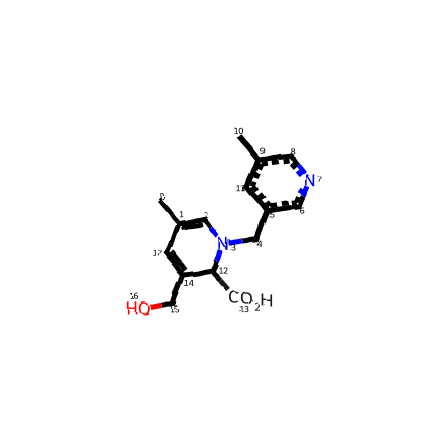 CC1=CN(Cc2cncc(C)c2)C(C(=O)O)C(CO)=C1